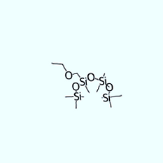 CCOC[Si](C)(O[Si](C)(C)C)O[Si](C)(C)O[Si](C)(C)C